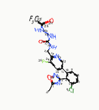 Cc1nc(-c2c(Cl)cccc2-c2cnc(CNC(=O)NNC(=O)C(F)(F)F)c(F)c2)no1